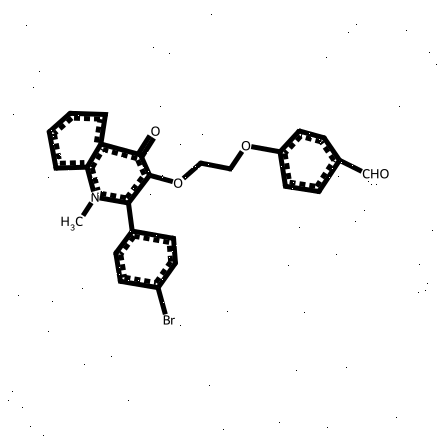 Cn1c(-c2ccc(Br)cc2)c(OCCOc2ccc(C=O)cc2)c(=O)c2ccccc21